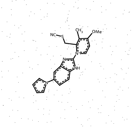 COc1cc[n+](-c2nc3cc(-n4cccc4)ccc3[nH]2)c(CSC#N)c1C